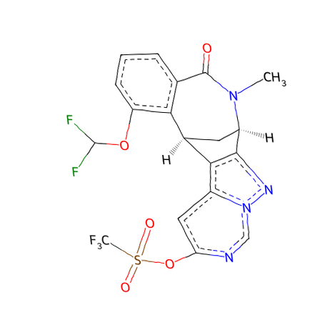 CN1C(=O)c2cccc(OC(F)F)c2[C@H]2C[C@@H]1c1nn3cnc(OS(=O)(=O)C(F)(F)F)cc3c12